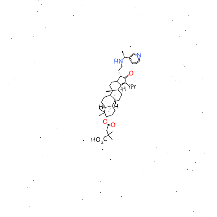 CC(C)C1=C2C(CC[C@]3(C)[C@@H]2CC[C@@H]2[C@@]4(C)CC[C@H](OC(=O)CC(C)(C)C(=O)O)C(C)(C)[C@@H]4CC[C@]23C)[C@H](CCN[C@@H](C)c2cccnc2)C1=O